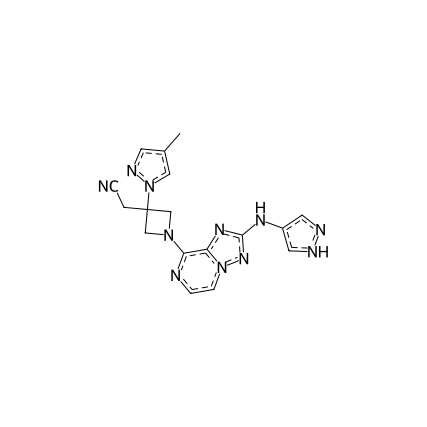 Cc1cnn(C2(CC#N)CN(c3nccn4nc(Nc5cn[nH]c5)nc34)C2)c1